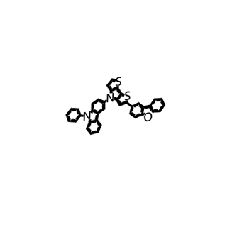 c1ccc(-n2c3ccccc3c3cc(-n4c5ccsc5c5sc(-c6ccc7oc8ccccc8c7c6)cc54)ccc32)cc1